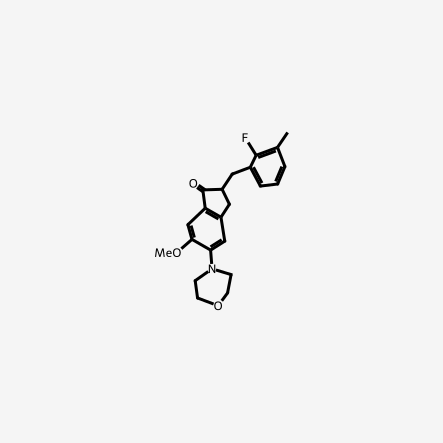 COc1cc2c(cc1N1CCOCC1)CC(Cc1cccc(C)c1F)C2=O